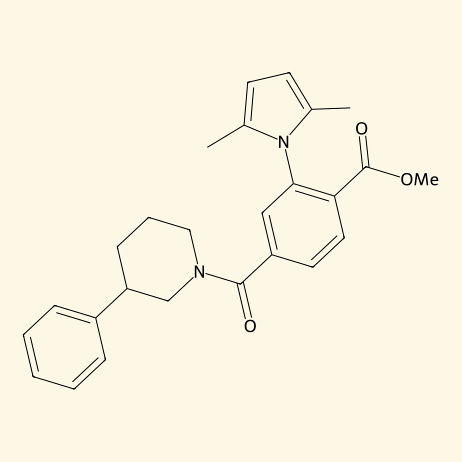 COC(=O)c1ccc(C(=O)N2CCCC(c3ccccc3)C2)cc1-n1c(C)ccc1C